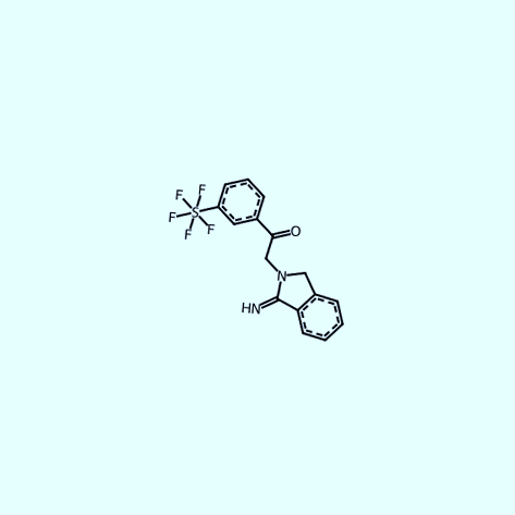 N=C1c2ccccc2CN1CC(=O)c1cccc(S(F)(F)(F)(F)F)c1